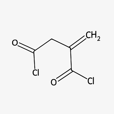 C=C(CC(=O)Cl)C(=O)Cl